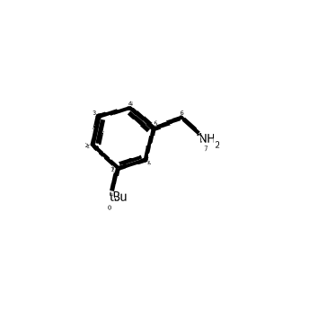 CC(C)(C)c1cccc(CN)c1